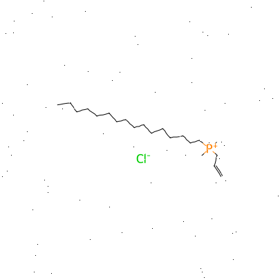 C=CC[P+](C)(C)CCCCCCCCCCCCCCCC.[Cl-]